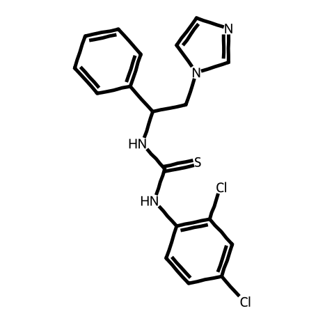 S=C(Nc1ccc(Cl)cc1Cl)NC(Cn1ccnc1)c1ccccc1